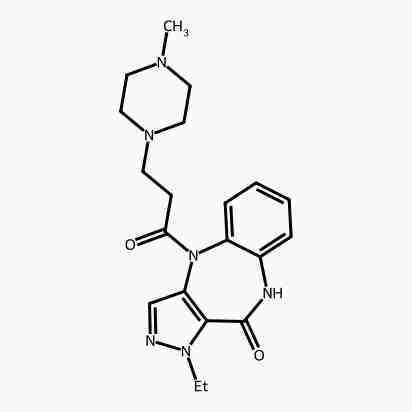 CCn1ncc2c1C(=O)Nc1ccccc1N2C(=O)CCN1CCN(C)CC1